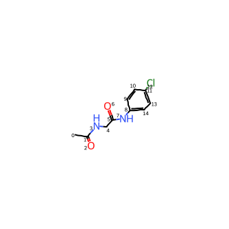 CC(=O)NCC(=O)Nc1ccc(Cl)cc1